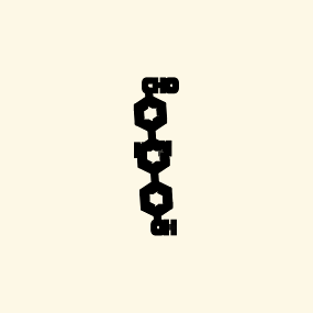 O=Cc1ccc(-c2ncc(-c3ccc(O)cc3)cn2)cc1